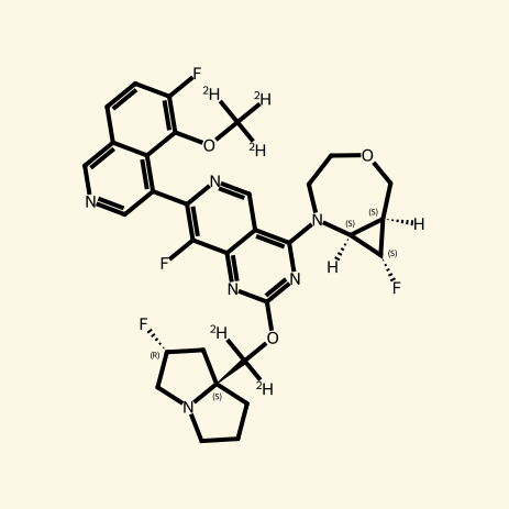 [2H]C([2H])([2H])Oc1c(F)ccc2cncc(-c3ncc4c(N5CCOC[C@H]6[C@H](F)[C@H]65)nc(OC([2H])([2H])[C@@]56CCCN5C[C@H](F)C6)nc4c3F)c12